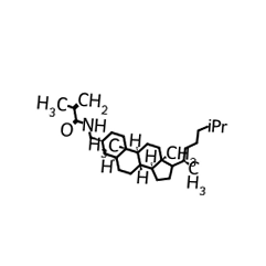 C=C(C)C(=O)NC[C@H]1CC[C@@]2(C)[C@@H](CC[C@@H]3[C@@H]2CC[C@]2(C)C([C@H](C)CCCC(C)C)CC[C@@H]32)C1